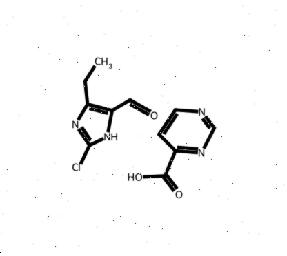 CCc1nc(Cl)[nH]c1C=O.O=C(O)c1ccncn1